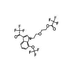 O=C(OCCOCCn1cc(C(=O)C(F)(F)F)c2cccc(OC(F)(F)F)c21)C(F)(F)F